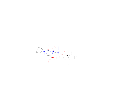 CC(C)(C)OC(=O)NCC(=O)N1C(=O)N(C2CCCCC2)C[C@H]1C(=O)O